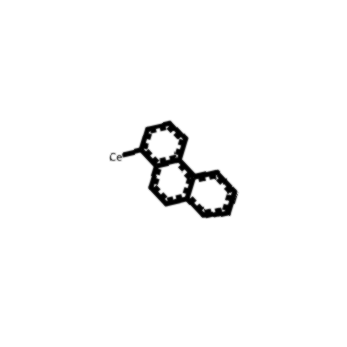 [Ce][c]1cccc2c1ccc1ccccc12